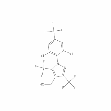 OCc1c(C(F)(F)F)nn(-c2c(Cl)cc(C(F)(F)F)cc2Cl)c1C(F)(F)F